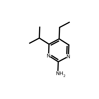 CCc1cnc(N)nc1C(C)C